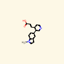 Cn1ccc2cc(-c3cnccc3C=CC(=O)O)ccc21